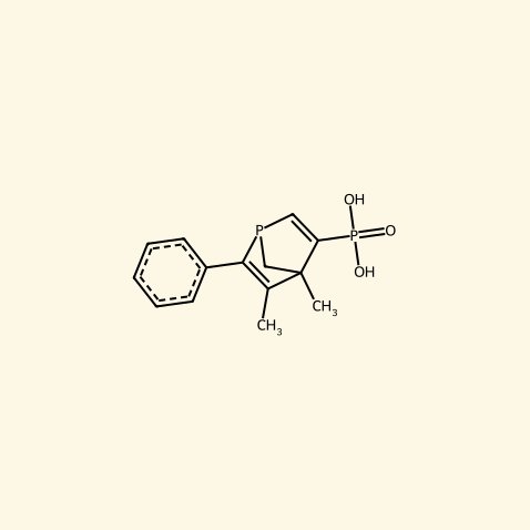 CC1=C(c2ccccc2)P2C=C(P(=O)(O)O)C1(C)C2